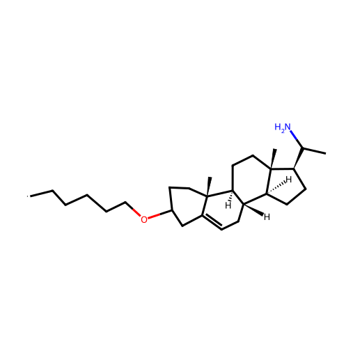 [CH2]CCCCCOC1CC[C@@]2(C)C(=CC[C@H]3[C@@H]4CC[C@H](C(C)N)[C@@]4(C)CC[C@@H]32)C1